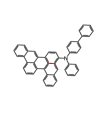 c1ccc(-c2ccc(N(c3ccccc3)c3ccc(-c4cc5ccccc5c5cccc(-c6cccc7ccccc67)c45)cc3)cc2)cc1